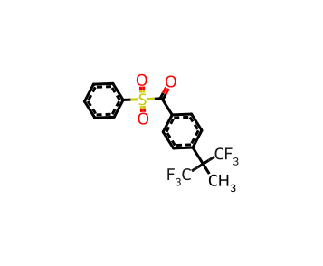 CC(c1ccc(C(=O)S(=O)(=O)c2ccccc2)cc1)(C(F)(F)F)C(F)(F)F